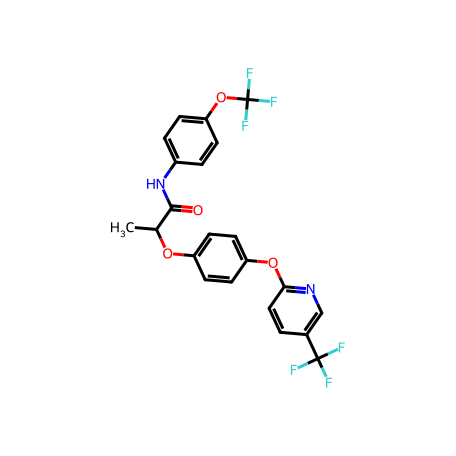 CC(Oc1ccc(Oc2ccc(C(F)(F)F)cn2)cc1)C(=O)Nc1ccc(OC(F)(F)F)cc1